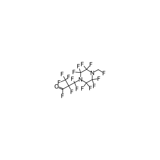 O=C(F)C(F)(C(F)(F)F)C(F)(F)N1C(F)(F)C(F)(F)N(CF)C(F)(F)C1(F)F